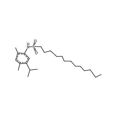 CCCCCCCCCCCCCS(=O)(=O)Nc1cc(C(C)C)c(C)cc1C